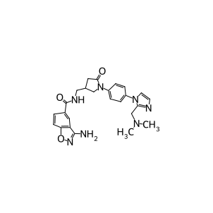 CN(C)Cc1nccn1-c1ccc(N2CC(CNC(=O)c3ccc4onc(N)c4c3)CC2=O)cc1